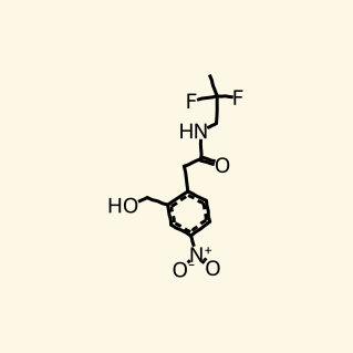 CC(F)(F)CNC(=O)Cc1ccc([N+](=O)[O-])cc1CO